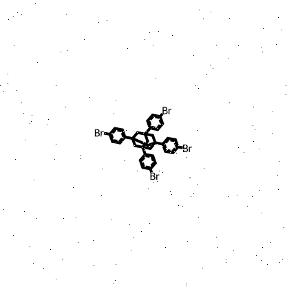 Brc1ccc(C23CC4(c5ccc(Br)cc5)CC(c5ccc(Br)cc5)(C2)CC(c2ccc(Br)cc2)(C3)C4)cc1